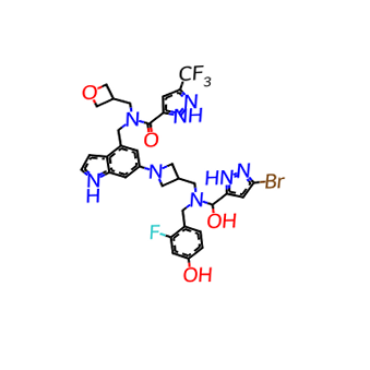 O=C(c1cc(C(F)(F)F)n[nH]1)N(Cc1cc(N2CC(CN(Cc3ccc(O)cc3F)C(O)c3cc(Br)n[nH]3)C2)cc2[nH]ccc12)CC1COC1